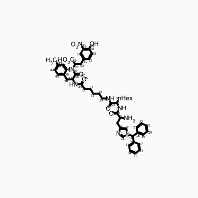 CCCCCCC(NC(=O)C(N)Cc1cn(C(c2ccccc2)c2ccccc2)cn1)C(=O)NCCCCCC(=O)NC(Cc1ccc(C)cc1)C(=O)NC(Cc1ccc(O)c([N+](=O)[O-])c1)C(=O)O